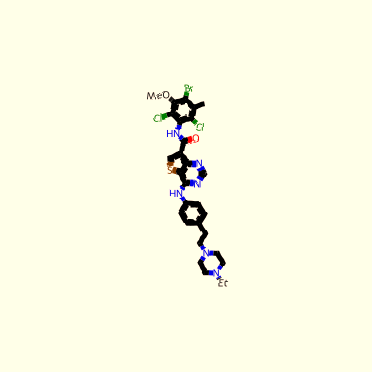 CCN1CCN(CCc2ccc(Nc3ncnc4c(C(=O)Nc5c(Cl)c(C)c(Br)c(OC)c5Cl)csc34)cc2)CC1